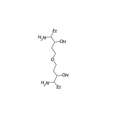 CCC(N)C(O)CCOCCC(O)C(N)CC